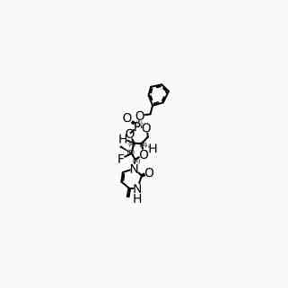 C=C1C=CN([C@@H]2O[C@@H]3CO[P@](=O)(OCc4ccccc4)O[C@H]3[C@@]2(C)F)C(=O)N1